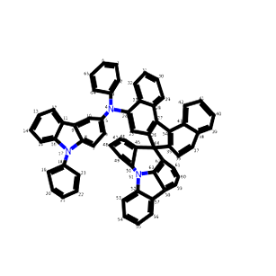 c1ccc(N(c2ccc3c(c2)c2ccccc2n3-c2ccccc2)c2cc3c(c4ccccc24)-c2c(ccc4ccccc24)C32c3ccccc3-n3c4ccccc4c4cccc2c43)cc1